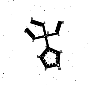 C=C[Si](C=C)(C=C)c1ccoc1